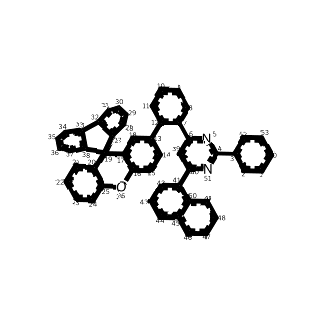 c1ccc(-c2nc(-c3ccccc3-c3ccc4c(c3)C3(c5ccccc5O4)c4ccccc4-c4ccccc43)cc(-c3cccc4ccccc34)n2)cc1